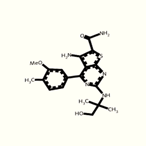 COc1cc(-c2nc(NC(C)(C)CO)nc3sc(C(N)=O)c(N)c23)ccc1C